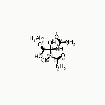 NC(=O)NC(O)(C(=O)O)N(Cl)C(N)=O.[AlH3]